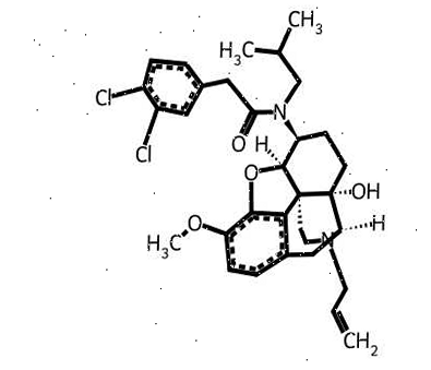 C=CCN1CC[C@]23c4c5ccc(OC)c4O[C@H]2[C@@H](N(CC(C)C)C(=O)Cc2ccc(Cl)c(Cl)c2)CC[C@@]3(O)[C@H]1C5